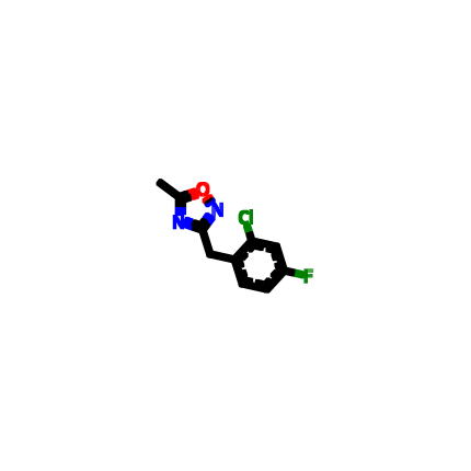 Cc1nc(Cc2ccc(F)cc2Cl)no1